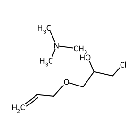 C=CCOCC(O)CCl.CN(C)C